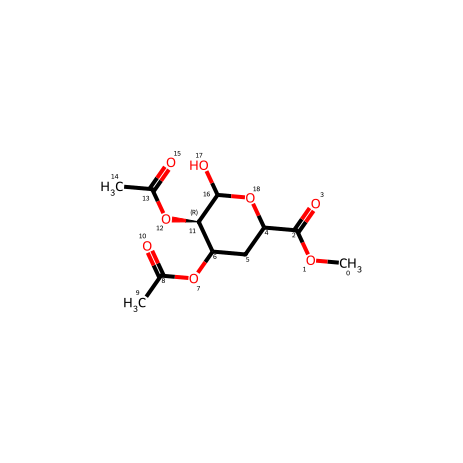 COC(=O)C1CC(OC(C)=O)[C@@H](OC(C)=O)C(O)O1